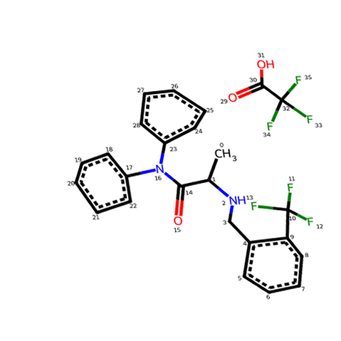 CC(NCc1ccccc1C(F)(F)F)C(=O)N(c1ccccc1)c1ccccc1.O=C(O)C(F)(F)F